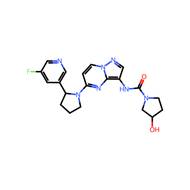 O=C(Nc1cnn2ccc(N3CCCC3c3cncc(F)c3)nc12)N1CCC(O)C1